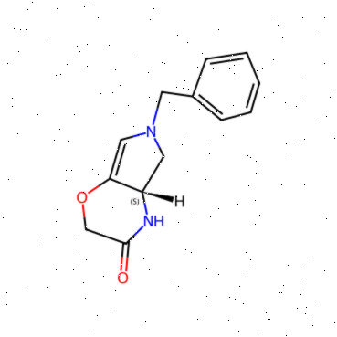 O=C1COC2=CN(Cc3ccccc3)C[C@@H]2N1